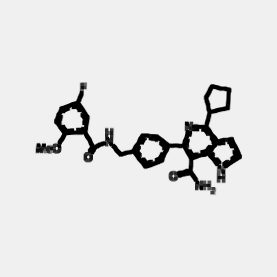 COc1ccc(F)cc1C(=O)NCc1ccc(-c2nc(C3CCCC3)c3cc[nH]c3c2C(N)=O)cc1